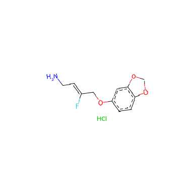 Cl.NCC=C(F)COc1ccc2c(c1)OCO2